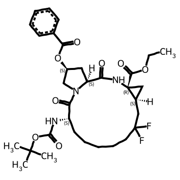 CCOC(=O)[C@@]12C[C@H]1CC(F)(F)CCCCC[C@H](NC(=O)OC(C)(C)C)C(=O)N1C[C@@H](OC(=O)c3ccccc3)C[C@H]1C(=O)N2